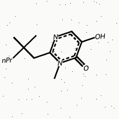 CCCC(C)(C)Cc1ncc(O)c(=O)n1C